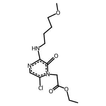 CCOC(=O)Cn1c(Cl)cnc(NCCCCOC)c1=O